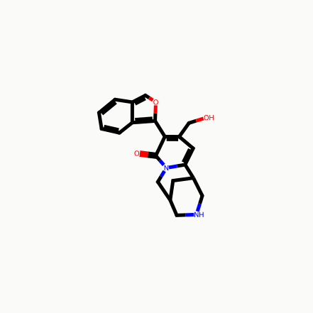 O=c1c(-c2occ3ccccc23)c(CO)cc2n1CC1CNCC2C1